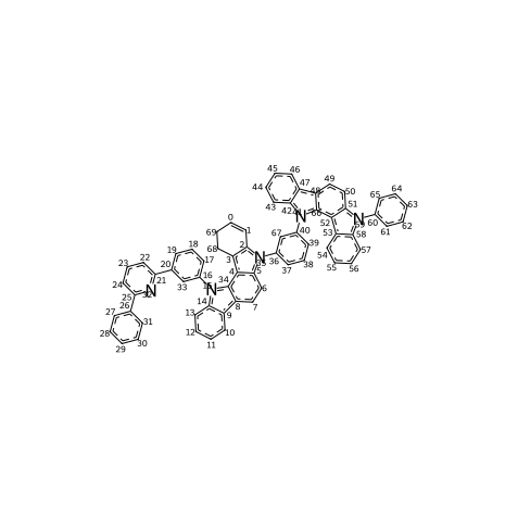 C1=Cc2c(c3c(ccc4c5ccccc5n(-c5cccc(-c6cccc(-c7ccccc7)n6)c5)c43)n2-c2cccc(-n3c4ccccc4c4ccc5c(c6ccccc6n5-c5ccccc5)c43)c2)CC1